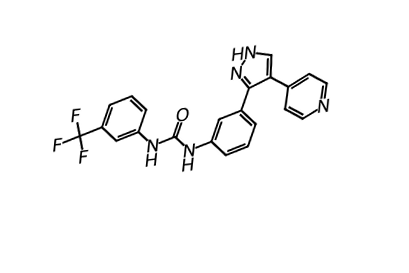 O=C(Nc1cccc(-c2n[nH]cc2-c2ccncc2)c1)Nc1cccc(C(F)(F)F)c1